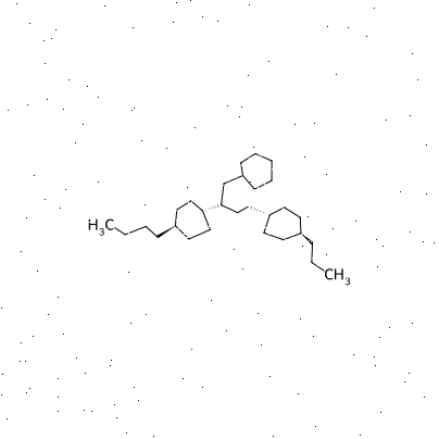 CCCC[C@H]1CC[C@H](C(CC[C@H]2CC[C@H](CCC)CC2)CC2CCCCC2)CC1